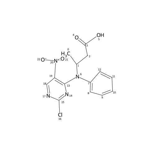 CC(CC(=O)O)N(c1ccccc1)c1nc(Cl)ncc1[N+](=O)[O-]